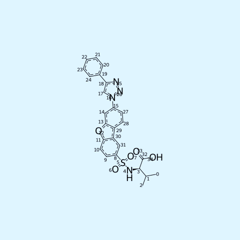 CC(C)[C@@H](NS(=O)(=O)c1ccc2oc3cc(-n4cc(-c5ccccc5)nn4)ccc3c2c1)C(=O)O